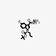 CCCN(C(=O)OC(C)(C)C)n1cc(C(=O)NN)c2cc(F)ccc21